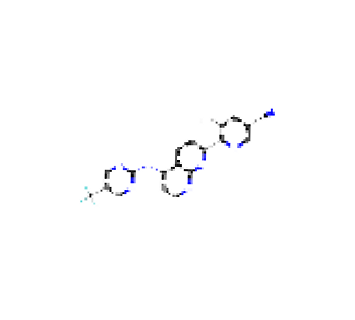 Cc1cc(C#N)cnc1-c1ccc2c(Nc3ncc(C(F)(F)F)cn3)ccnc2n1